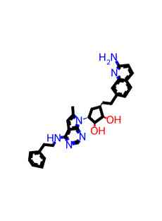 Cc1cc2c(NCCc3ccccc3)ncnc2n1[C@@H]1C[C@H](CCc2ccc3ccc(N)nc3c2)[C@@H](O)[C@H]1O